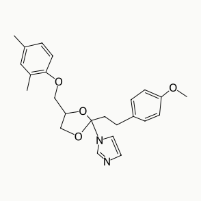 COc1ccc(CCC2(n3ccnc3)OCC(COc3ccc(C)cc3C)O2)cc1